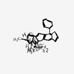 CC1=C[CH]([Zr-6]([CH3])([CH3])([CH3])([CH3])(=[SiH2])(=[SiH2])[CH]2C(C)=Cc3c2cc2c(c3-c3ccccc3)CCC2)C=C1